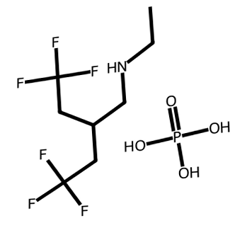 CCNCC(CC(F)(F)F)CC(F)(F)F.O=P(O)(O)O